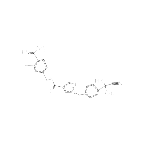 CC(C)(C#N)c1ccc(Cn2cc(C(=O)NCc3ccc(C(=N)N)c(F)c3)cn2)cc1